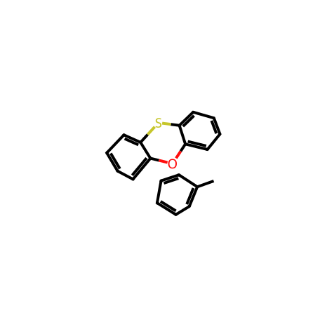 Cc1ccccc1.c1ccc2c(c1)Oc1ccccc1S2